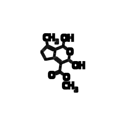 COC(=O)C1=C2CCC(C)=C2C(O)OC1O